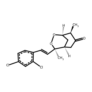 C[C@H]1C(=O)C[C@@H]2C[C@H]1OO[C@]2(C)C=Cc1ccc(Cl)cc1Cl